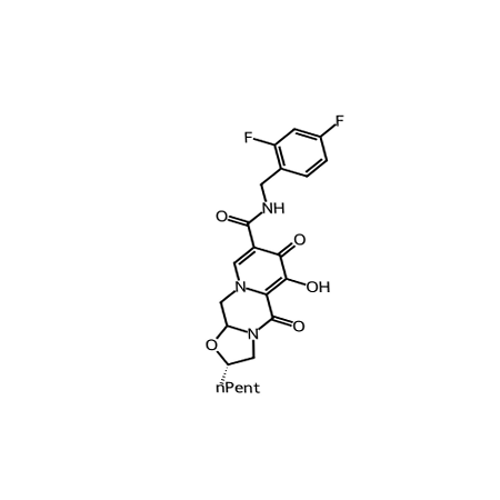 CCCCC[C@H]1CN2C(=O)c3c(O)c(=O)c(C(=O)NCc4ccc(F)cc4F)cn3CC2O1